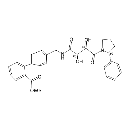 COC(=O)c1ccccc1-c1ccc(CNC(=O)[C@H](O)[C@@H](O)C(=O)N2CCC[C@@H]2c2ccccc2)cc1